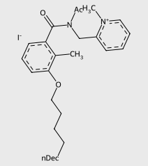 CCCCCCCCCCCCCCOc1cccc(C(=O)N(Cc2cccc[n+]2C)C(C)=O)c1C.[I-]